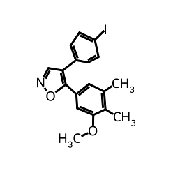 COc1cc(-c2oncc2-c2ccc(I)cc2)cc(C)c1C